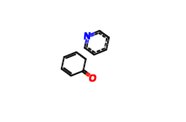 O=C1C=CC=CC1.c1ccncc1